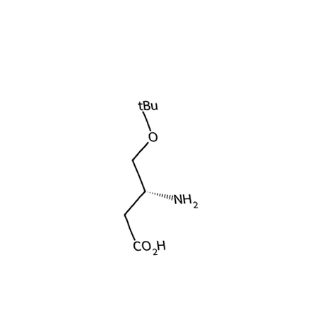 CC(C)(C)OC[C@H](N)CC(=O)O